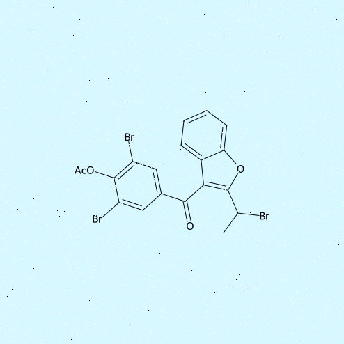 CC(=O)Oc1c(Br)cc(C(=O)c2c(C(C)Br)oc3ccccc23)cc1Br